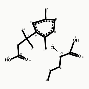 CCC[C@H](Cl)C(=O)O.Cc1ccc(C)c(C(C)(C)CC(=O)O)c1